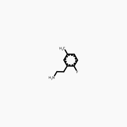 Cc1ccc(F)c(CCN)c1